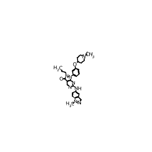 C=CCn1c(=O)c2cnc(Nc3ccc4c(cnn4C)c3)nc2n1-c1cccc(OC2CCN(C)CC2)c1